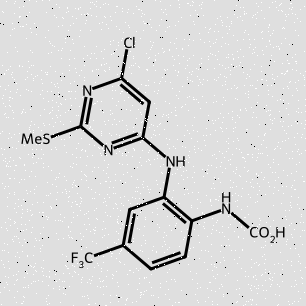 CSc1nc(Cl)cc(Nc2cc(C(F)(F)F)ccc2NC(=O)O)n1